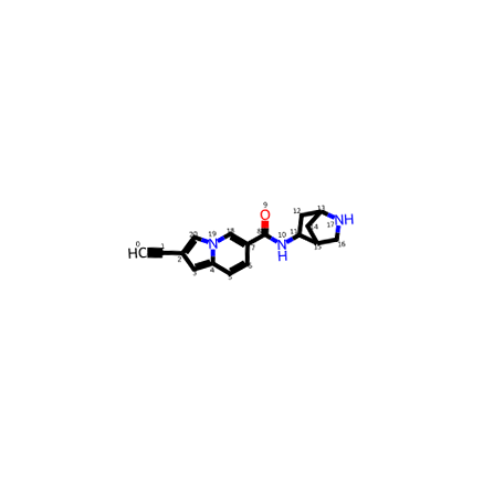 C#Cc1cc2ccc(C(=O)NC3CC4CC3CN4)cn2c1